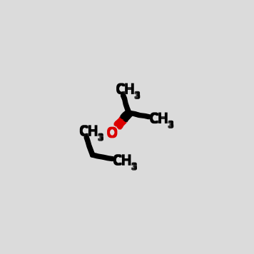 CC(C)=O.CCC